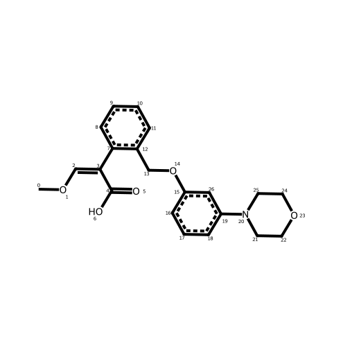 COC=C(C(=O)O)c1ccccc1COc1cccc(N2CCOCC2)c1